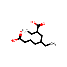 CCC(CCCC(=O)O)CC(CC)C(=O)O